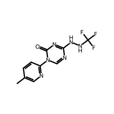 Cc1ccc(-n2cnc(NNC(F)(F)F)nc2=O)nc1